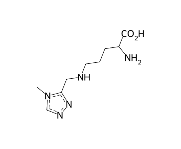 Cn1cnnc1CNCCCC(N)C(=O)O